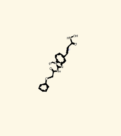 CCn1c(NC(=O)COc2ccccc2)nc2cc(/C=C/C(=O)NO)ccc21